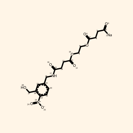 O=[C]([Na])CCC(=O)OCCOC(=O)CCC(=O)NCc1ccc([N+](=O)[O-])c(CO)c1